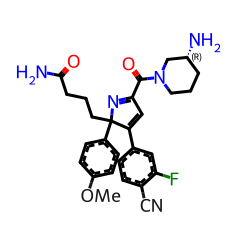 COc1ccc(C2(CCCC(N)=O)N=C(C(=O)N3CCC[C@@H](N)C3)C=C2c2ccc(C#N)c(F)c2)cc1